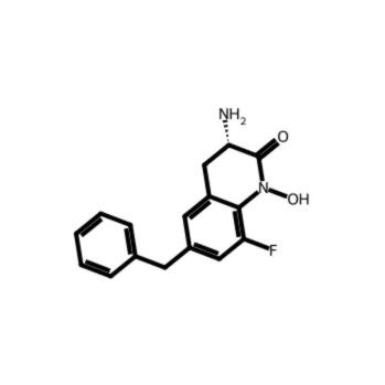 N[C@H]1Cc2cc(Cc3ccccc3)cc(F)c2N(O)C1=O